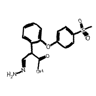 CS(=O)(=O)c1ccc(Oc2ccccc2C(/C=N/N)C(=O)O)cc1